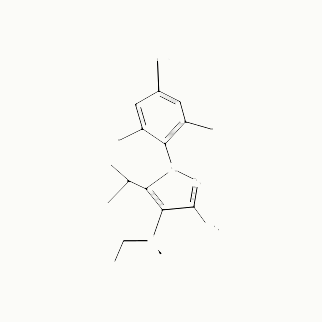 N#Cc1nn(-c2c(F)cc(C(F)(F)F)cc2Cl)c(C(F)F)c1[S@@+]([O-])CF